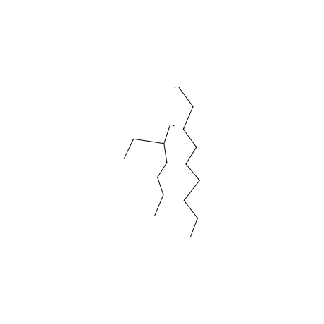 [CH2]C(CC)CCCC.[CH2]CCCCCCCC